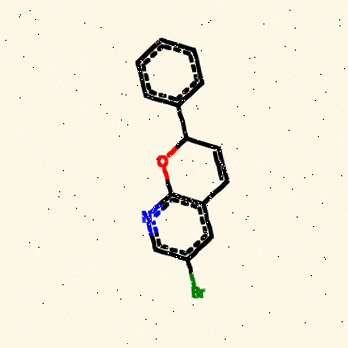 Brc1cnc2c(c1)C=CC(c1ccccc1)O2